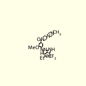 CCNc1cc(Nc2ccc(C(=O)N3CCC(N4CCN(C)CC4)CC3)cc2OC)nc2[nH]cc(C(F)(F)F)c12